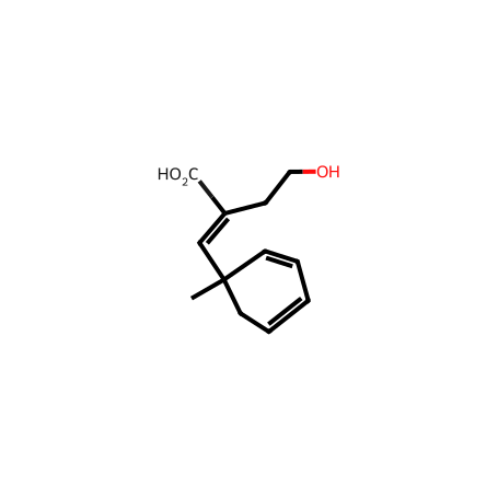 CC1(C=C(CCO)C(=O)O)C=CC=CC1